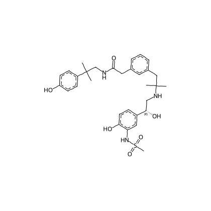 CC(C)(Cc1cccc(CC(=O)NCC(C)(C)c2ccc(O)cc2)c1)NC[C@H](O)c1ccc(O)c(NS(C)(=O)=O)c1